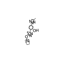 Cc1cnn(-c2ccc(-c3nnc(OC4CC5CCC(C4)N5C)s3)c(O)c2)n1